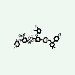 CN1CCC(Nc2ccc(S(=O)(=O)NC(=O)c3ccc(N4CCN(CC5=C(c6ccc(Cl)cc6)CC(C)(C)CC5)CC4)cc3Oc3cccc(F)c3F)cc2[N+](=O)[O-])CC1